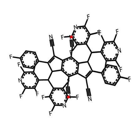 N#CC1=C(c2ccc(F)cc2)C(C(c2c(F)c(F)nc(F)c2F)c2c(F)c(F)nc(F)c2F)c2c(C#N)c3c(c(C#N)c21)C(C(c1c(F)c(F)nc(F)c1F)c1c(F)c(F)nc(F)c1F)C(c1ccc(F)cc1)=C3C#N